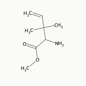 C=CC(C)(C)C(N)C(=O)OC